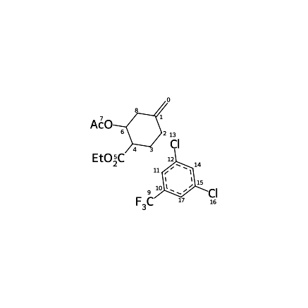 C=C1CCC(C(=O)OCC)C(OC(C)=O)C1.FC(F)(F)c1cc(Cl)cc(Cl)c1